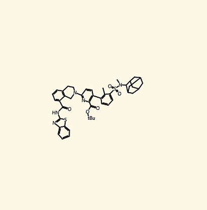 Cc1c(-c2ccc(N3CCc4cccc(C(=O)Nc5nc6ccccc6s5)c4C3)nc2C(=O)OC(C)(C)C)cccc1S(=O)(=O)N(C)C1C2CC3CC(C2)CC1C3